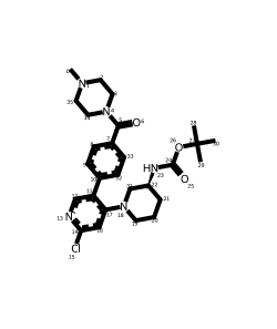 CN1CCN(C(=O)c2ccc(-c3cnc(Cl)cc3N3CCC[C@H](NC(=O)OC(C)(C)C)C3)cc2)CC1